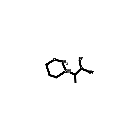 CC(C)N(C(C)C)C(C)[SiH]1CCCO[SiH2]1